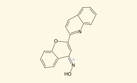 O/N=c1/cc(-c2ccc3ccccc3n2)oc2ccccc12